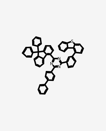 c1ccc(-c2ccc(-c3nc(-c4cccc(-c5cccc6sc7ccccc7c56)c4)nc(-c4cccc5c4-c4ccccc4C5(c4ccccc4)c4ccccc4)n3)cc2)cc1